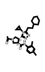 CC(=O)N1C[C@H](C(=O)Nc2ccc(C)cc2C)[C@@H](c2nnc(CCC3CCCCC3)n2C2CC2)C1